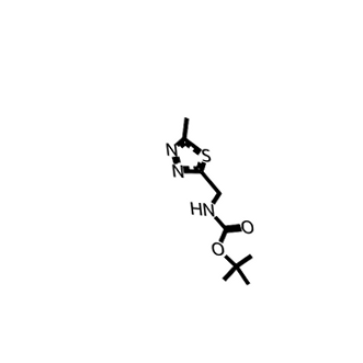 Cc1nnc(CNC(=O)OC(C)(C)C)s1